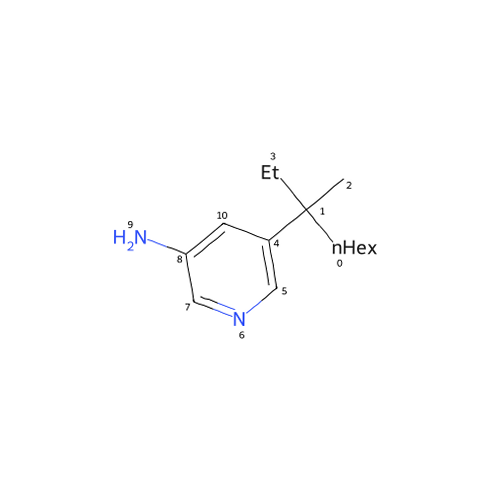 CCCCCCC(C)(CC)c1cncc(N)c1